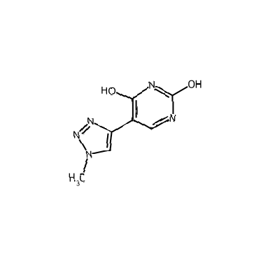 Cn1cc(-c2cnc(O)nc2O)nn1